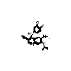 CC(C)Oc1cc2ncc(C#N)c(Nc3ccc(F)c(Cl)c3)c2cc1N